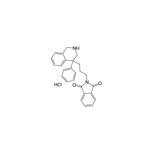 Cl.O=C1c2ccccc2C(=O)N1CCCC1(c2ccccc2)CNCc2ccccc21